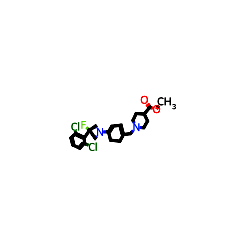 COC(=O)C1CCN(CC2=CC=C(N3CC(F)(c4c(Cl)cccc4Cl)C3)CC2)CC1